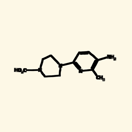 Cc1nc(N2CCN(C(=O)O)CC2)ccc1N